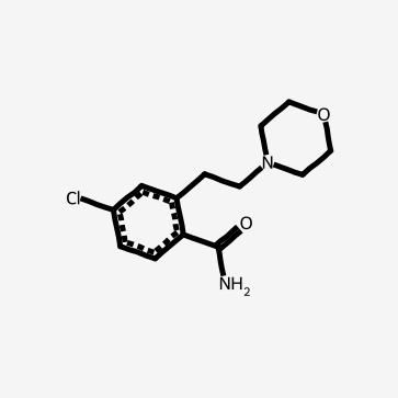 NC(=O)c1ccc(Cl)cc1CCN1CCOCC1